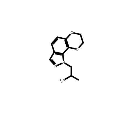 CC(N)Cn1ncc2ccc3c(c21)OCCO3